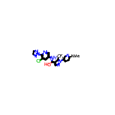 CNc1ccc(-n2ncc(C(O)Nc3cnc(-n4nccn4)c(Cl)c3)c2C(F)(F)F)cn1